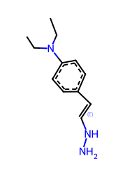 CCN(CC)c1ccc(/C=C/NN)cc1